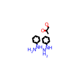 CC(=O)C=O.NNc1ccccc1.NNc1ccccc1